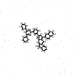 CC1(C)c2ccccc2-c2cc3c(-c4ccc5ccccc5c4)cc(-c4cccc(-c5nc(-c6ccccc6)cc(-c6ccccc6)n5)c4)nc3cc21